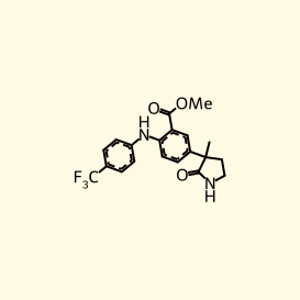 COC(=O)c1cc(C2(C)CCNC2=O)ccc1Nc1ccc(C(F)(F)F)cc1